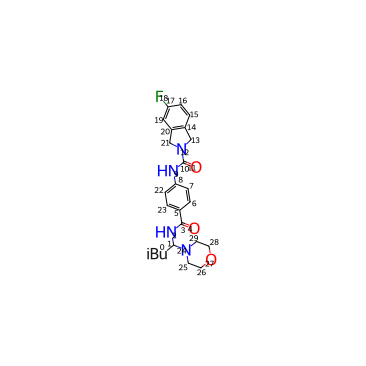 CCC(C)C(NC(=O)c1ccc(NC(=O)N2Cc3ccc(F)cc3C2)cc1)N1CCOCC1